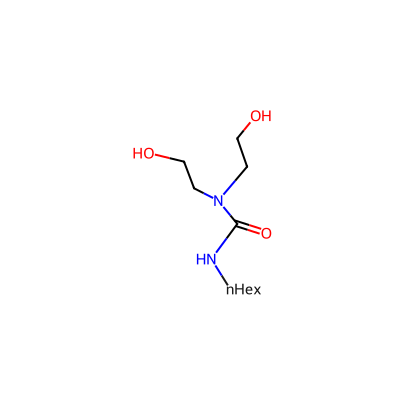 CCCCCCNC(=O)N(CCO)CCO